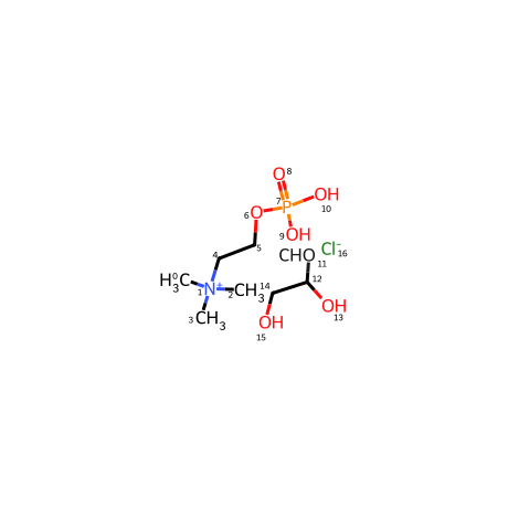 C[N+](C)(C)CCOP(=O)(O)O.O=CC(O)CO.[Cl-]